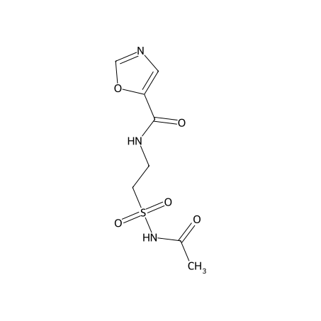 CC(=O)NS(=O)(=O)CCNC(=O)c1cnco1